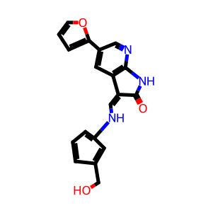 O=C1Nc2ncc(-c3ccco3)cc2C1=CNc1cccc(CO)c1